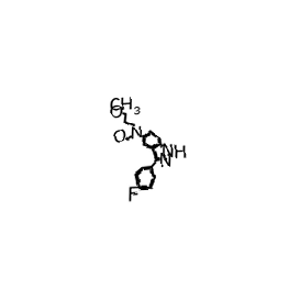 COCCCN(C=O)c1ccc2[nH]nc(-c3ccc(F)cc3)c2c1